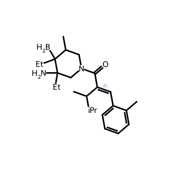 BC1(CC)C(C)CN(C(=O)/C(=C/c2ccccc2C)C(C)C(C)C)CC1(N)CC